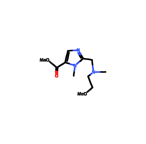 COCCN(C)Cc1ncc(C(=O)OC)n1C